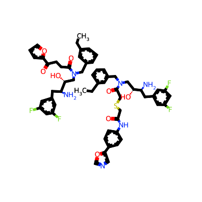 CCc1cccc(CN(C[C@@H](O)[C@@H](N)Cc2cc(F)cc(F)c2)C(=O)CCC(=O)c2ccco2)c1.CCc1cccc(CN(C[C@@H](O)[C@@H](N)Cc2cc(F)cc(F)c2)C(=O)CSCC(=O)Nc2ccc(-c3cnco3)cc2)c1